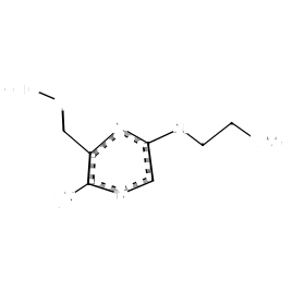 COCCNc1cnc(N)c(COC=O)n1